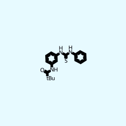 CC(C)(C)C(=O)Nc1cccc(NC(=S)Nc2ccccc2)c1